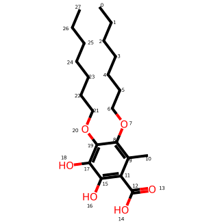 CCCCCCCOc1c(C)c(C(=O)O)c(O)c(O)c1OCCCCCCC